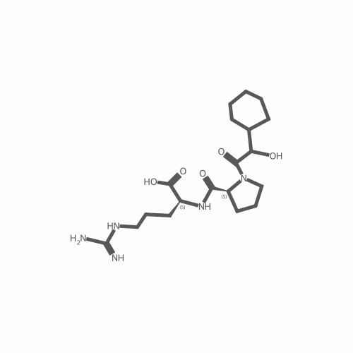 N=C(N)NCCC[C@H](NC(=O)[C@@H]1CCCN1C(=O)C(O)C1CCCCC1)C(=O)O